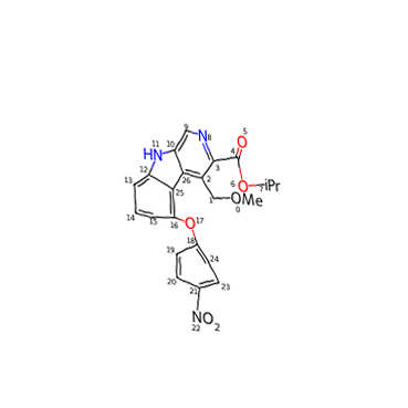 COCc1c(C(=O)OC(C)C)ncc2[nH]c3cccc(Oc4ccc([N+](=O)[O-])cc4)c3c12